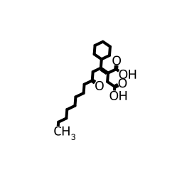 CCCCCCCCC(=O)CC(=C(CC(=O)O)C(=O)O)C1CCCCC1